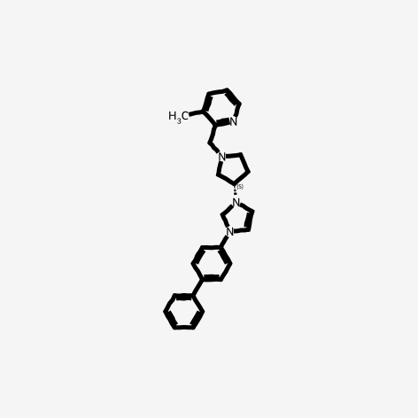 Cc1cccnc1CN1CC[C@H](N2C=CN(c3ccc(-c4ccccc4)cc3)C2)C1